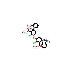 COC(=O)C1=C(Cl)C(OC2C=CC(c3ccccc3C(F)(F)F)([N+](=O)[O-])C(C(=O)OC)=C2Cl)C=CC1(c1ccccc1C(F)(F)F)[N+](=O)[O-]